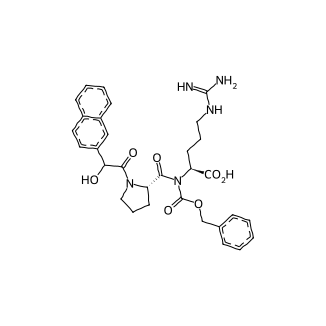 N=C(N)NCCC[C@@H](C(=O)O)N(C(=O)OCc1ccccc1)C(=O)[C@@H]1CCCN1C(=O)C(O)c1ccc2ccccc2c1